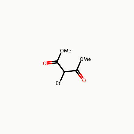 CCC(C(=O)OC)C(=O)OC